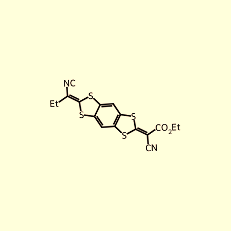 [C-]#[N+]C(CC)=C1Sc2cc3c(cc2S1)SC(=C(C#N)C(=O)OCC)S3